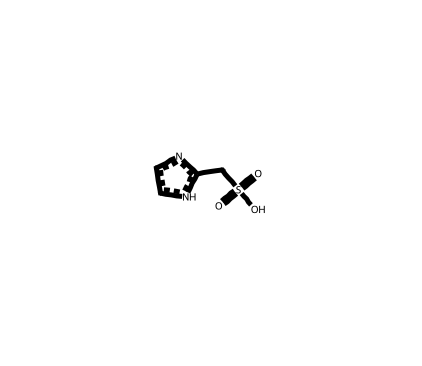 O=S(=O)(O)[CH]c1ncc[nH]1